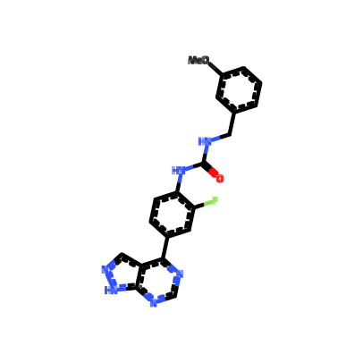 COc1cccc(CNC(=O)Nc2ccc(-c3ncnc4[nH]ncc34)cc2F)c1